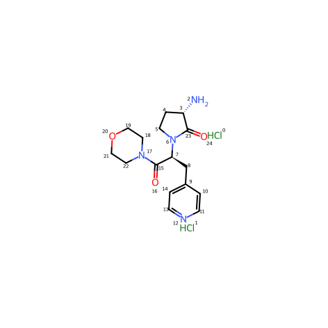 Cl.Cl.N[C@H]1CCN([C@@H](Cc2ccncc2)C(=O)N2CCOCC2)C1=O